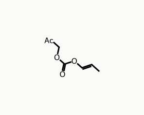 CC=COC(=O)OCC(C)=O